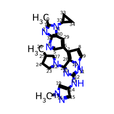 Cc1nc2ncc(-c3ccn4nc(Nc5cnn(C)c5)nc(N5CCC(C)C5)c34)cc2n1C1CC1